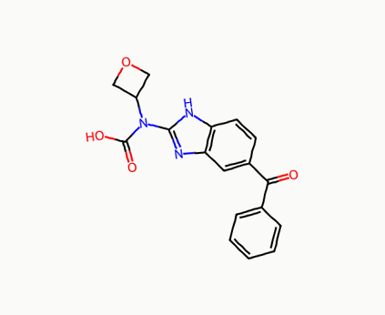 O=C(c1ccccc1)c1ccc2[nH]c(N(C(=O)O)C3COC3)nc2c1